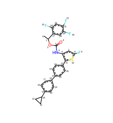 CC(OC(=O)Nc1cc(F)sc1-c1ccc(-c2ccc(C3CC3)cc2)cc1)c1cc(F)c(F)cc1F